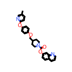 Cc1ccc(Oc2ccc(OCC3CCN(C(=O)Oc4ccc5cccnc5c4)CC3)cc2)nc1